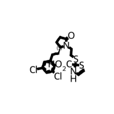 O=C1CC[C@H](CCc2cc(Cl)cc(Cl)c2)N1CCSC1(C(=O)O)NC=CS1